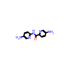 Nc1ccc(NC(=O)c2ccc(N)cn2)nc1